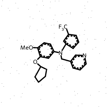 COc1ccc(N(Cc2cccnc2)c2cccc(C(F)(F)F)c2)cc1OC1CCCC1